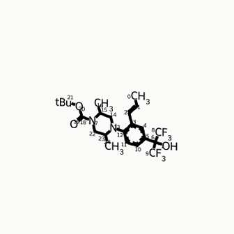 CC=Cc1cc(C(O)(C(F)(F)F)C(F)(F)F)ccc1N1CC(C)N(C(=O)OC(C)(C)C)CC1C